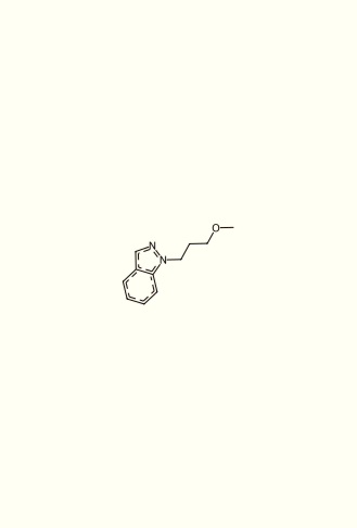 COCCCn1ncc2ccccc21